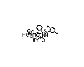 CC(C)N(O)C(=O)N1N=C(c2cc(F)ccc2F)SC1(CCCOP(=O)(O)O)c1ccccc1